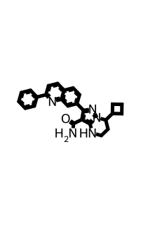 NC(=O)c1c(-c2ccc3ccc(-c4ccccc4)nc3c2)nn2c1NCCC2C1CCC1